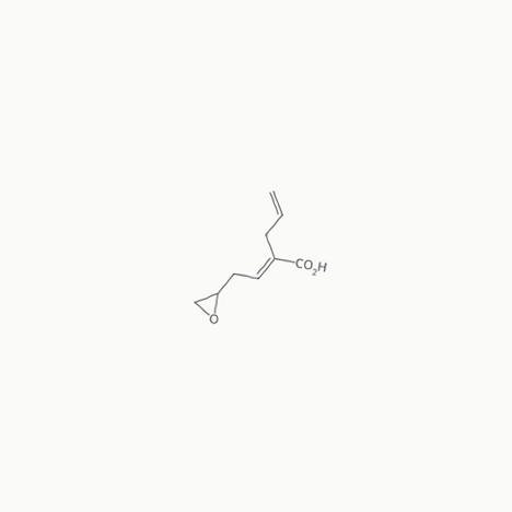 C=CCC(=CCC1CO1)C(=O)O